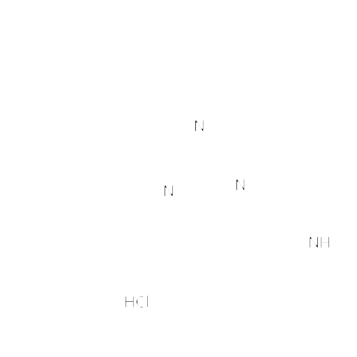 Cl.c1ccc(-c2nc(N3CCCNCC3)nc3ccccc23)cc1